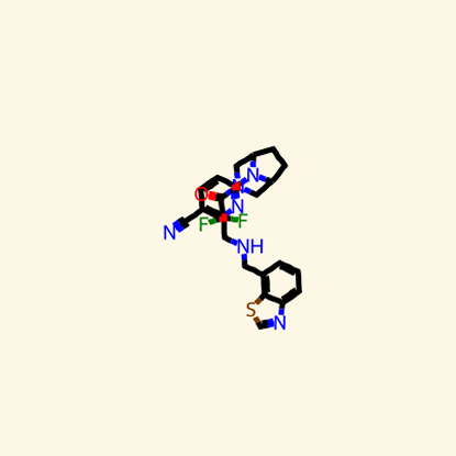 N#Cc1ccc(N2C3CCC2CN(C(=O)C(F)(F)CNCc2cccc4ncsc24)C3)nc1